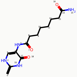 C=C1NC=C(NC(=O)CCCCCCC(N)=O)C(=O)N1